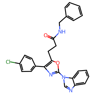 O=C(CCc1oc(-n2cnc3ccccc32)nc1-c1ccc(Cl)cc1)NCc1ccccc1